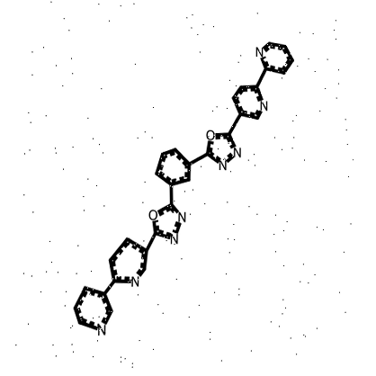 c1ccc(-c2ccc(-c3nnc(-c4cccc(-c5nnc(-c6ccc(-c7cccnc7)nc6)o5)c4)o3)cn2)nc1